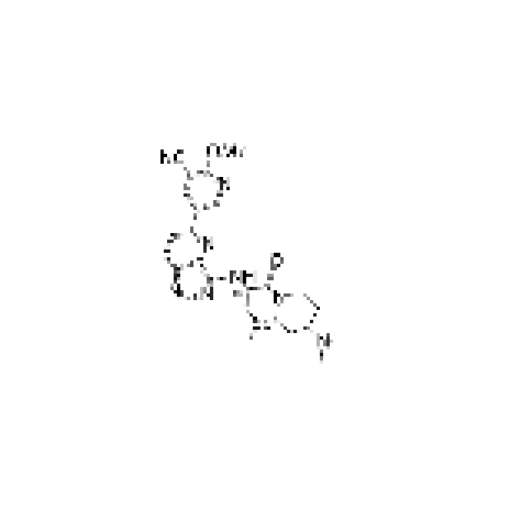 COc1ncc(-c2ccc3ncnc(N[C@@H](C[Se]C)C(=O)N4CCC(N(C)C)CC4)c3n2)cc1C#N